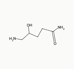 NCC(O)CCC(N)=O